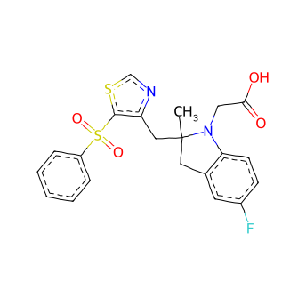 CC1(Cc2ncsc2S(=O)(=O)c2ccccc2)Cc2cc(F)ccc2N1CC(=O)O